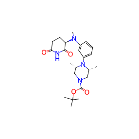 C[C@@H]1CN(C(=O)OC(C)(C)C)C[C@H](C)N1c1cccc(N(C)[C@@H]2CCC(=O)NC2=O)c1